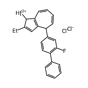 CCC1=CC2=C(C=CC=CC2c2ccc(-c3ccccc3)c(F)c2)[CH]1[Hf+2].[Cl-].[Cl-]